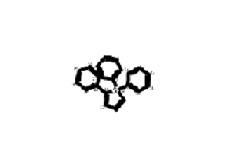 C1=C[Si](c2ccccc2)(c2ccccc2)C(c2ccccc2)=C1